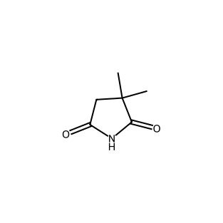 CC1(C)CC(=O)NC1=O